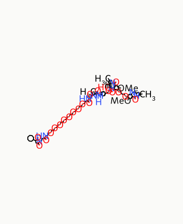 COc1cc2c(cc1OCCCOc1cc3c(cc1OC)C(=O)N1C=C(C)C[C@H]1[C@H](O)N3C(=O)OCc1ccc(NC(=O)[C@H](C)NC(=O)CNC(=O)CCOCCOCCOCCOCCOCCOCCOCCOCCNC(=O)CCN3C(=O)CC(C4CCCCCCC4)C3=O)cc1)N=CC1CC(C)=CN1C2=O